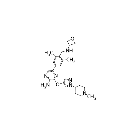 Cc1cc(-c2cnc(N)c(Oc3cnn(C4CCN(C)CC4)c3)n2)cc(C)c1CNC1COC1